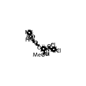 COC(=O)c1cc(OCCOCCNS(=O)(=O)c2cccnc2)ccc1NC(=O)c1ccc(Cl)cc1Cl